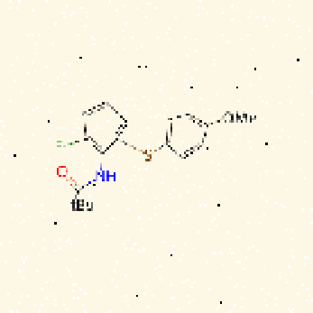 COc1ccc(Sc2cccc(F)c2NC(=O)C(C)(C)C)cc1